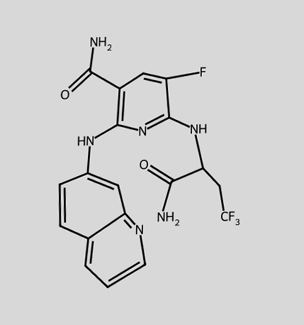 NC(=O)c1cc(F)c(NC(CC(F)(F)F)C(N)=O)nc1Nc1ccc2cccnc2c1